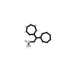 O[SiH2]CC(C1CCCCCC1)C1CCCCCC1